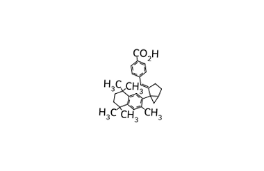 Cc1cc2c(cc1C13CC1CCC3=Cc1ccc(C(=O)O)cc1)C(C)(C)CCC2(C)C